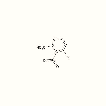 O=C(O)c1cccc(I)c1I(=O)=O